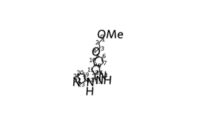 COCCCOc1ccc2c(c1)Cc1c-2n[nH]c1Nc1cccnc1